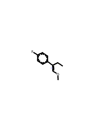 CC/C(=C\OC)c1ccc(F)cc1